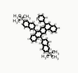 C[Si](C)(C)c1ccc2cc(-c3c4ccccc4c(-c4ccc5cc([Si](C)(C)C)ccc5c4)c4cc5c(cc34)c(-c3cccnc3)cc3ccccc35)ccc2c1